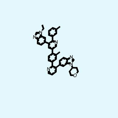 CCn1cnc2ccc(-c3cc(-c4ccc(-c5ncccc5-c5ccc6ncn(C7CCOCC7)c6c5)cc4C)cnc3-c3cccc(C)c3)cc21